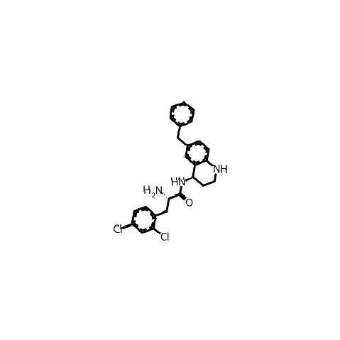 N[C@@H](Cc1ccc(Cl)cc1Cl)C(=O)N[C@@H]1CCNc2ccc(Cc3ccccc3)cc21